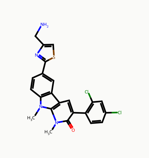 Cn1c(=O)c(-c2ccc(Cl)cc2Cl)cc2c3cc(-c4nc(CN)cs4)ccc3n(C)c21